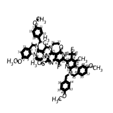 COc1ccc(CN(Cc2ccc(OC)cc2)c2nccnc2[C@@H](C)N2CCOc3nc(-c4nc(N(Cc5ccc(OC)cc5)Cc5ccc(OC)cc5)c(F)c(C)c4C(F)(F)F)c(F)c4nc(SC)nc2c34)cc1